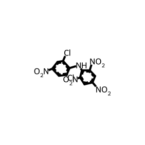 O=[N+]([O-])c1cc(Cl)c(Nc2c([N+](=O)[O-])cc([N+](=O)[O-])cc2[N+](=O)[O-])c(Cl)c1